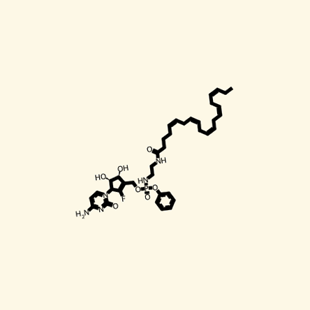 CC/C=C\C/C=C\C/C=C\C/C=C\C/C=C\CCCC(=O)NCCNP(=O)(OCC1=C(F)C(n2ccc(N)nc2=O)[C@H](O)[C@@H]1O)Oc1ccccc1